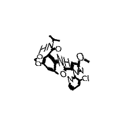 COc1cc(C(=O)Nc2c(C)cc3c(c2C(=O)NC(C)C)OCO3)n(-c2ncccc2Cl)n1